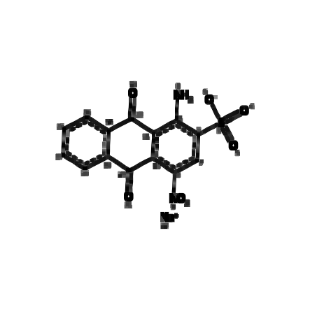 Nc1c(S(=O)(=O)[O-])cc([N+](=O)[O-])c2c1C(=O)c1ccccc1C2=O.[Na+]